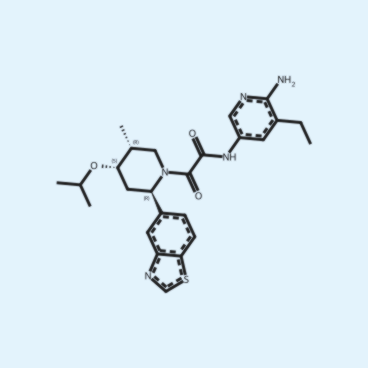 CCc1cc(NC(=O)C(=O)N2C[C@@H](C)[C@@H](OC(C)C)C[C@@H]2c2ccc3scnc3c2)cnc1N